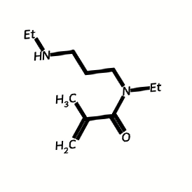 C=C(C)C(=O)N(CC)CCCNCC